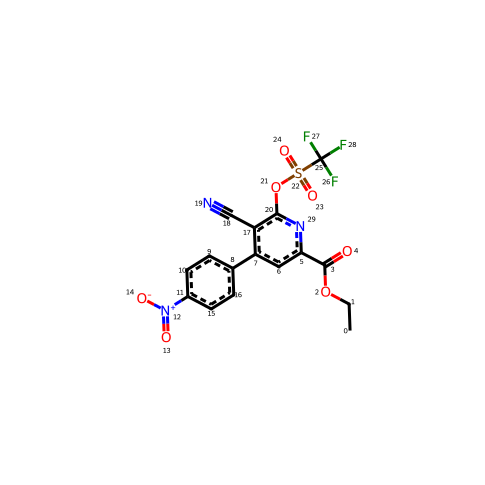 CCOC(=O)c1cc(-c2ccc([N+](=O)[O-])cc2)c(C#N)c(OS(=O)(=O)C(F)(F)F)n1